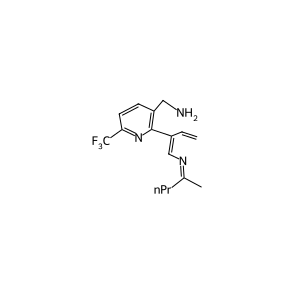 C=C/C(=C\N=C(\C)CCC)c1nc(C(F)(F)F)ccc1CN